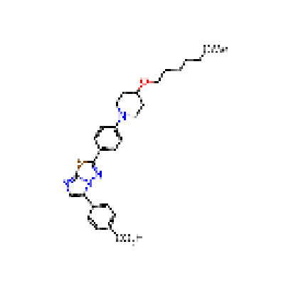 COCCCCCOC1CCN(c2ccc(-c3nn4c(-c5ccc(C(=O)O)cc5)cnc4s3)cc2)CC1